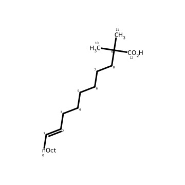 CCCCCCCCC=CCCCCCCC(C)(C)C(=O)O